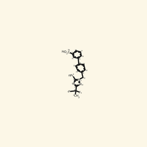 CCCc1nc(C(C)(F)F)nn1Cc1ccc(-c2cccc(C(=O)O)c2)cc1